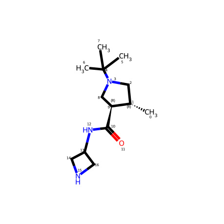 C[C@H]1CN(C(C)(C)C)C[C@@H]1C(=O)NC1CNC1